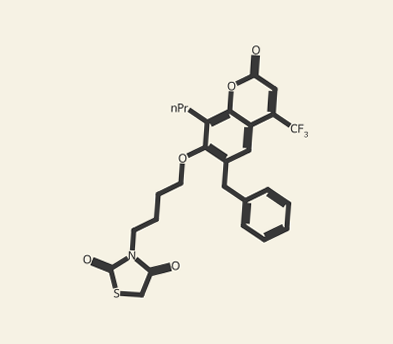 CCCc1c(OCCCCN2C(=O)CSC2=O)c(Cc2ccccc2)cc2c(C(F)(F)F)cc(=O)oc12